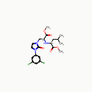 COC(=O)[C@H](CC(C)C)N[C@@H](Cn1ccn(-c2cc(F)cc(F)c2)c1=O)C(=O)OC